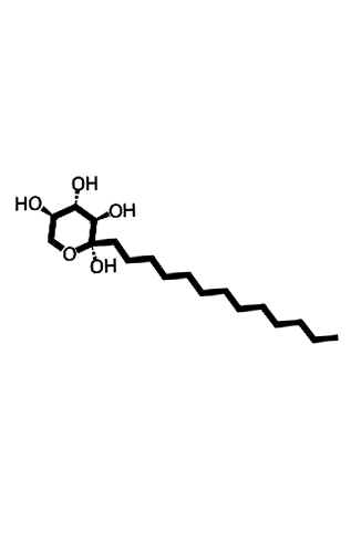 CCCCCCCCCCCCC[C@@]1(O)OC[C@@H](O)[C@H](O)[C@H]1O